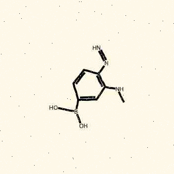 CNc1cc(B(O)O)ccc1N=N